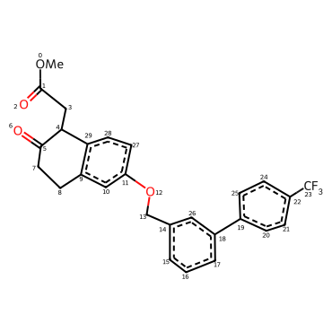 COC(=O)CC1C(=O)CCc2cc(OCc3cccc(-c4ccc(C(F)(F)F)cc4)c3)ccc21